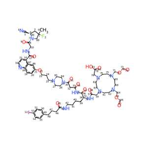 CC1(F)C[C@H](C#N)N(C(=O)CNC(=O)c2ccnc3ccc(OCCCN4CCN(C(=O)CC(=O)NC(=O)[C@H](CCCCNC(=O)CCCc5ccc(I)cc5)NC(=O)CN5CCN(COC=O)CCN(COC=O)CCN(CC(=O)O)CC5)CC4)cc23)C1